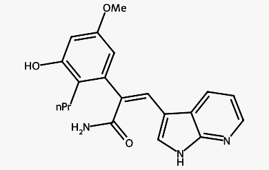 CCCc1c(O)cc(OC)cc1C(=Cc1c[nH]c2ncccc12)C(N)=O